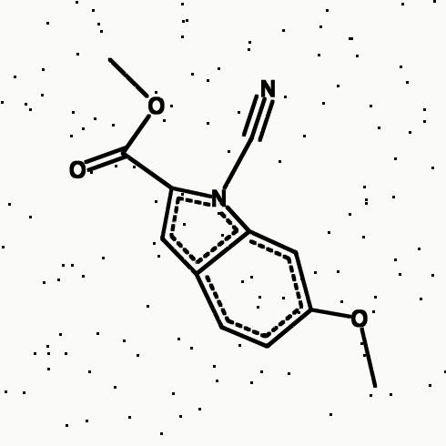 COC(=O)c1cc2ccc(OC)cc2n1C#N